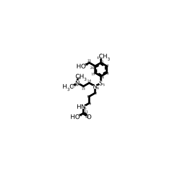 Cc1ccc(SN(CCCNC(=O)O)CCN(C)C)cc1CO